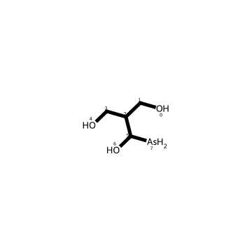 OCC(CO)C(O)[AsH2]